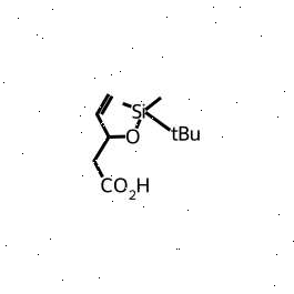 C=CC(CC(=O)O)O[Si](C)(C)C(C)(C)C